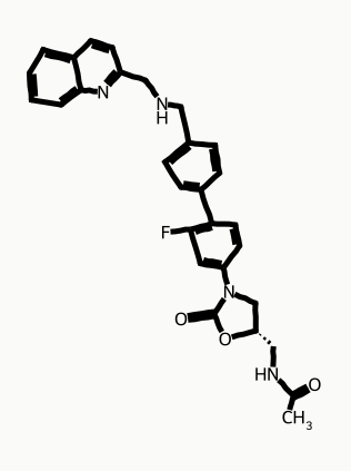 CC(=O)NC[C@H]1CN(c2ccc(-c3ccc(CNCc4ccc5ccccc5n4)cc3)c(F)c2)C(=O)O1